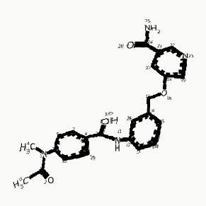 CC(=O)N(C)c1ccc(C(O)Nc2cccc(COc3cncc(C(N)=O)c3)c2)cc1